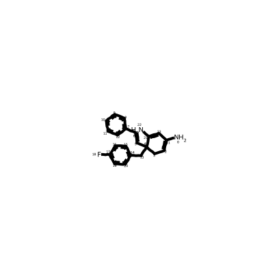 NC1=CCC(C=Cc2ccccc2)(Cc2ccc(F)cc2)C(N)=C1